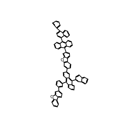 c1ccc(-c2ccc(-c3c4ccccc4c(-c4ccc5c(c4)oc4cc(-c6ccc7c(-c8cccc(-c9ccc%10c(c9)oc9ccccc9%10)c8)c8ccccc8c(-c8ccc9ccccc9c8)c7c6)ccc45)c4ccccc34)c3ccccc23)cc1